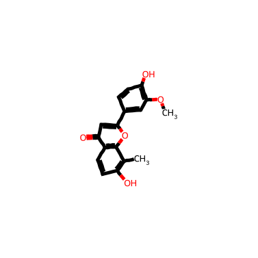 COc1cc(-c2cc(=O)c3ccc(O)c(C)c3o2)ccc1O